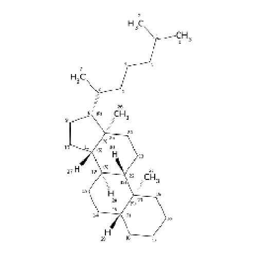 CC(C)CCCC(C)[C@H]1CC[C@H]2[C@@H]3CC[C@H]4CCCC[C@]4(C)[C@H]3CC[C@]12C